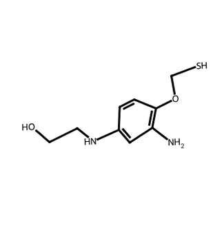 Nc1cc(NCCO)ccc1OCS